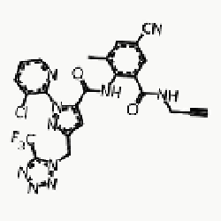 C#CCNC(=O)c1cc(C#N)cc(C)c1NC(=O)c1cc(Cn2nnnc2C(F)(F)F)nn1-c1ncccc1Cl